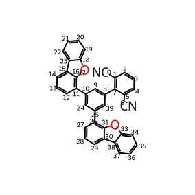 N#Cc1cccc(C#N)c1-c1cc(-c2cccc3c2oc2ccccc23)cc(-c2cccc3c2oc2ccccc23)c1